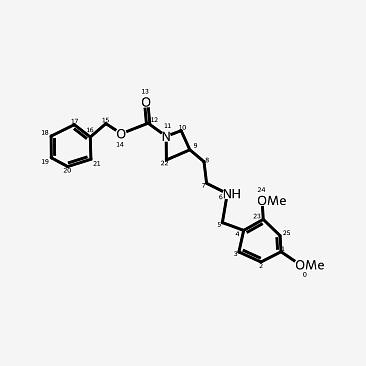 COc1ccc(CNCCC2CN(C(=O)OCc3ccccc3)C2)c(OC)c1